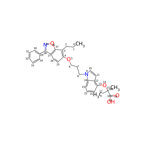 CCCc1c(OCCCn2ccc3c(OC(C)(C)C(=O)O)cccc32)ccc2c(-c3ccccc3)noc12